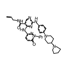 C=CCNC(=O)c1cnc(Nc2ccc(N3CCC(N4CCCCC4)CC3)cc2)nc1Nc1ccc(=O)n(C(C)C)n1